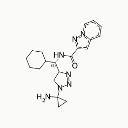 NC1(N2CC([C@@H](NC(=O)c3cc4ccccn4n3)C3CCCCC3)N=N2)CC1